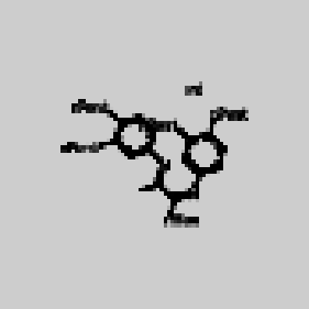 CCCCCCC(=Nc1ccc(CCCCC)c(CCCCC)c1)C(C)=Nc1ccc(CCCCC)c(CCCCC)c1.[Pd]